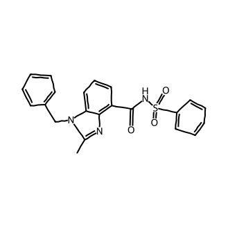 Cc1nc2c(C(=O)NS(=O)(=O)c3ccccc3)cccc2n1Cc1ccccc1